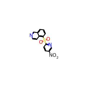 O=[N+]([O-])c1ccc(S(=O)(=O)c2cccc3cnccc23)nc1